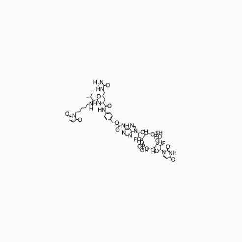 CC(C)C(NCCCCCN1C(=O)C=CC1=O)C(=O)NC(CCCNC(N)=O)C(=O)Nc1ccc(COC(=O)Nc2ncnc3c2ncn3[C@@H]2O[C@@H]3COP(=O)(S)O[C@H]4[C@@H](F)[C@H](n5ccc(=O)[nH]c5=O)O[C@@H]4COP(=O)(O)O[C@H]3[C@H]2F)cc1